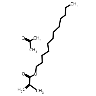 C=C(C)C(=O)OCCCCCCCCCCCC.CC(C)=O